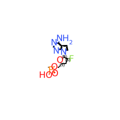 CP(=O)(O)OC[C@@H]1C[C@H](F)[C@H](n2ccc3c(N)ncnc32)O1